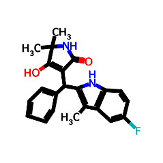 Cc1c(C(C2=C(O)C(C)(C)NC2=O)c2ccccc2)[nH]c2ccc(F)cc12